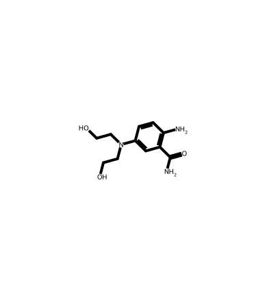 NC(=O)c1cc(N(CCO)CCO)ccc1N